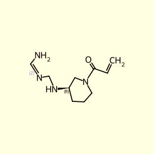 C=CC(=O)N1CCC[C@@H](NC/N=C\N)C1